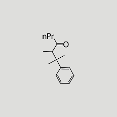 CCCC(=O)C(C)C(C)(C)c1ccccc1